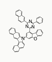 c1ccc(-c2nc(-c3ccc4ccccc4c3)nc(-c3cc(-n4c5cc6ccccc6cc5c5c6ccccc6ccc54)cc4oc5ccccc5c34)n2)cc1